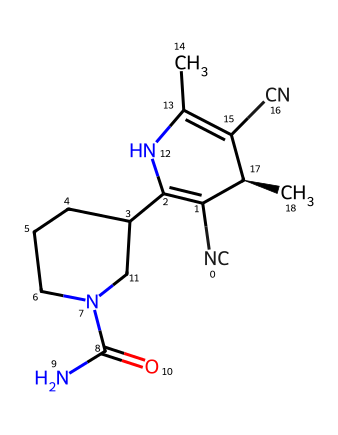 [C-]#[N+]C1=C(C2CCCN(C(N)=O)C2)NC(C)=C(C#N)[C@H]1C